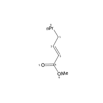 CCCCC=CC(=O)OC